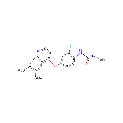 CCCNC(=O)Nc1ccc(Oc2ccnc3cc(OC)c(OC)cc23)cc1F